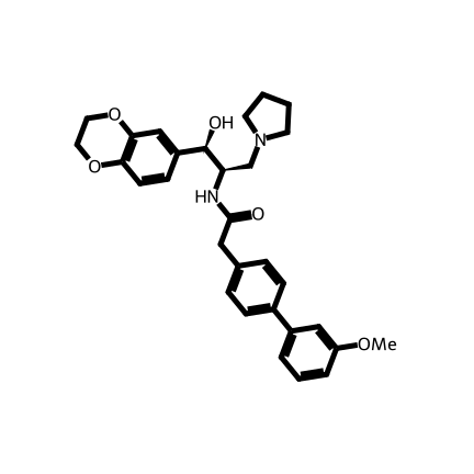 COc1cccc(-c2ccc(CC(=O)N[C@H](CN3CCCC3)[C@H](O)c3ccc4c(c3)OCCO4)cc2)c1